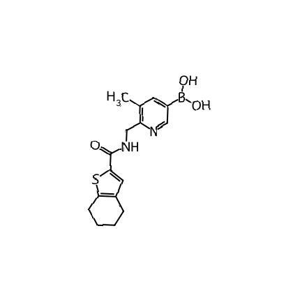 Cc1cc(B(O)O)cnc1CNC(=O)c1cc2c(s1)CCCC2